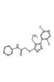 CCn1c(SCC(=O)Nc2ccccc2)nnc1-c1cc(F)ncc1F